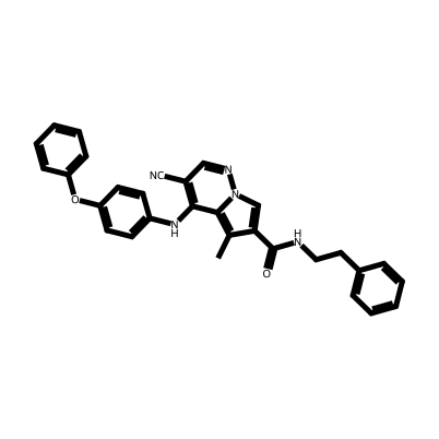 Cc1c(C(=O)NCCc2ccccc2)cn2ncc(C#N)c(Nc3ccc(Oc4ccccc4)cc3)c12